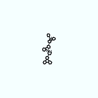 c1ccc(-n2c3ccccc3c3cc(-c4ccc5c(c4)c4ccccc4n5-c4cc(-c5ccc6c7ccccc7c7ccccc7c6c5)ccn4)ccc32)cc1